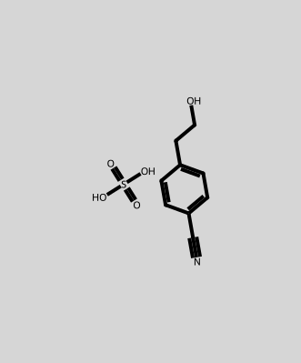 N#Cc1ccc(CCO)cc1.O=S(=O)(O)O